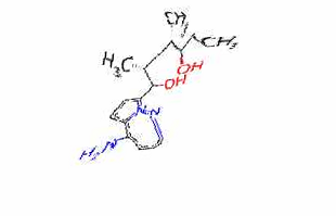 CC[C@@H](O)[C@@H](C)[C@@H](C)C(O)c1ccc2c(N)ccnn12